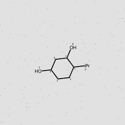 CC(C)C1CCC(O)CC1O